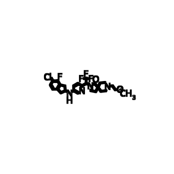 COCCN1CCC2(CC1)CCN(C(c1ccc(NC3Cc4ccc(Cl)c(F)c4C3)cn1)C(F)(F)F)C2=O